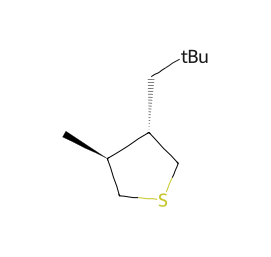 C[C@@H]1CSC[C@H]1CC(C)(C)C